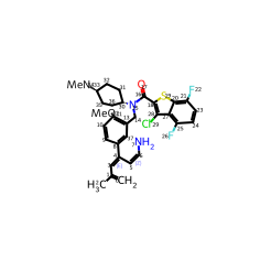 C=C(C)/C=C(\C=C/N)c1ccc(OC)c(CN(C(=O)c2sc3c(F)ccc(F)c3c2Cl)[C@H]2CC[C@H](NC)CC2)c1